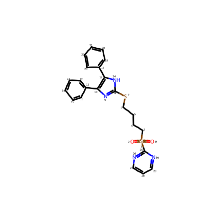 O=S(=O)(CCCCSc1nc(-c2ccccc2)c(-c2ccccc2)[nH]1)c1ncccn1